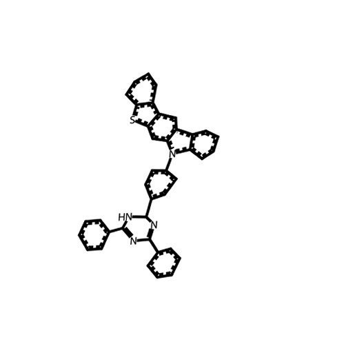 c1ccc(C2=NC(c3ccc(-n4c5ccccc5c5cc6c(cc54)sc4ccccc46)cc3)NC(c3ccccc3)=N2)cc1